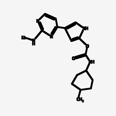 CCNc1nccc(-c2c[nH]c(OC(=O)NC3CCC(C)CC3)c2)n1